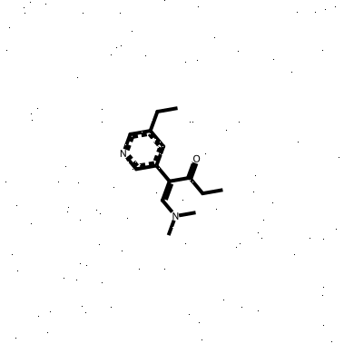 CCC(=O)C(=CN(C)C)c1cncc(CC)c1